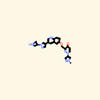 Cn1cc(-n2ccc(=O)c(COc3ccc4ncc(-c5cnn(C6CNC6)c5)cc4c3)n2)cn1